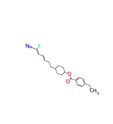 CCc1ccc(C(=O)OC2CCC(CCC=CC=C(F)C#N)CC2)cc1